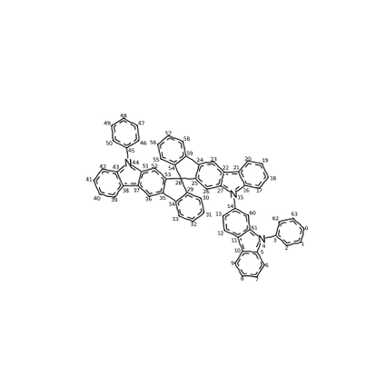 c1ccc(-n2c3ccccc3c3ccc(-n4c5ccccc5c5cc6c(cc54)C4(c5ccccc5-c5cc7c8ccccc8n(-c8ccccc8)c7cc54)c4ccccc4-6)cc32)cc1